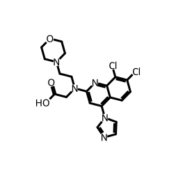 O=C(O)CN(CCN1CCOCC1)c1cc(-n2ccnc2)c2ccc(Cl)c(Cl)c2n1